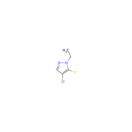 CCn1n[c]c(Cl)c1F